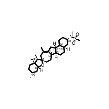 CC1=C2C[C@H]3[C@@H](CC[C@@H]4C[C@@H](NS(C)(=O)=O)CC[C@@]43C)[C@@H]2CC[C@@]2(C1)O[C@@H]1C[C@H](C)CC[C@H]1[C@H]2C